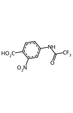 O=C(O)c1ccc(NC(=O)C(F)(F)F)cc1[N+](=O)[O-]